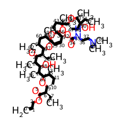 C=CCOC(=O)[C@H](CC)[C@H]1CC[C@H](C)[C@H]([C@@H](C)[C@H](O)[C@H](C)C(=O)[C@H](CC)[C@H]2O[C@]3(C=C[C@@H](OC(=O)NCCN(C)C)[C@]4(CC[C@@](C)([C@H]5CC[C@](O)(CC)[C@H](C)O5)O4)O3)[C@H](C)C[C@@H]2C)O1